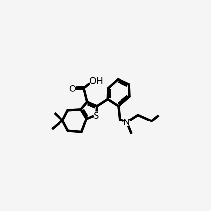 CCCN(C)Cc1ccccc1-c1sc2c(c1C(=O)O)CC(C)(C)CC2